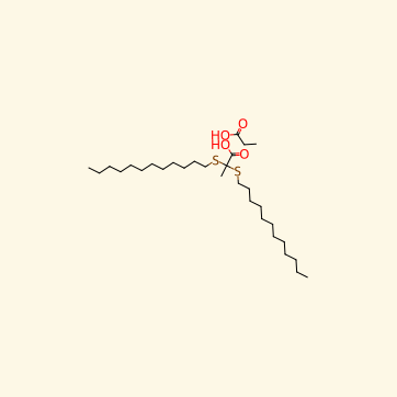 CCC(=O)O.CCCCCCCCCCCCSC(C)(SCCCCCCCCCCCC)C(=O)O